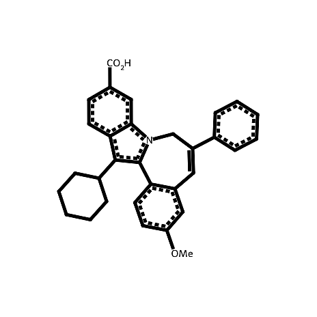 COc1ccc2c(c1)C=C(c1ccccc1)Cn1c-2c(C2CCCCC2)c2ccc(C(=O)O)cc21